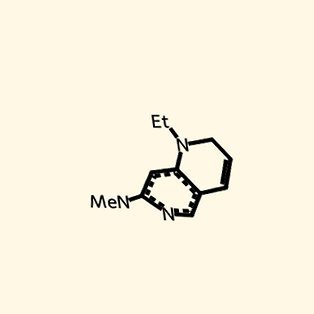 CCN1CC=Cc2cnc(NC)cc21